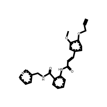 C#CCOc1ccc(C=CC(=O)Nc2ccccc2C(=O)NCc2cccnc2)cc1OC